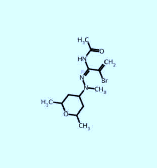 C=C(Br)/C(=N\N(C)C1CC(C)OC(C)C1)NC(C)=O